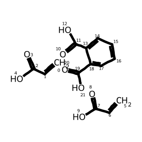 C=CC(=O)O.C=CC(=O)O.O=C(O)c1ccccc1C(=O)O